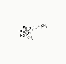 CCCCCCOC1OC(C)C(O)[C@H](O)[C@@H]1O